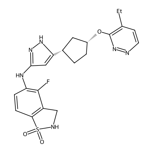 CCc1ccnnc1O[C@@H]1CC[C@H](c2cc(Nc3ccc4c(c3F)CNS4(=O)=O)n[nH]2)C1